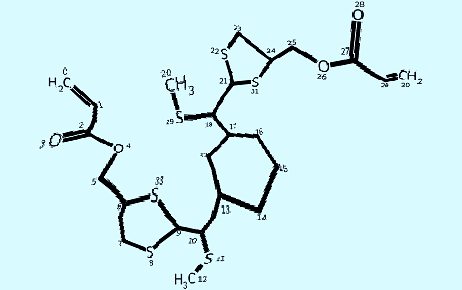 C=CC(=O)OCC1CSC(C(SC)C2CCCC(C(SC)C3SCC(COC(=O)C=C)S3)C2)S1